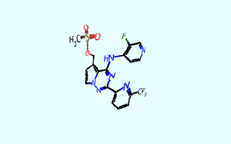 CS(=O)(=O)OCc1ccn2nc(-c3cccc(C(F)(F)F)n3)nc(Nc3ccncc3F)c12